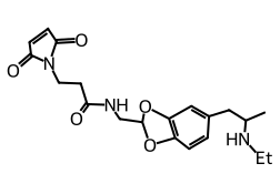 CCNC(C)Cc1ccc2c(c1)OC(CNC(=O)CCN1C(=O)C=CC1=O)O2